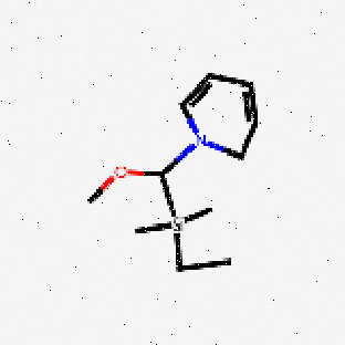 CC[Si](C)(C)C(OC)N1C=CC=CC1